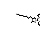 CCO[Si](CCCCCCCCCS)(OCC)OCC